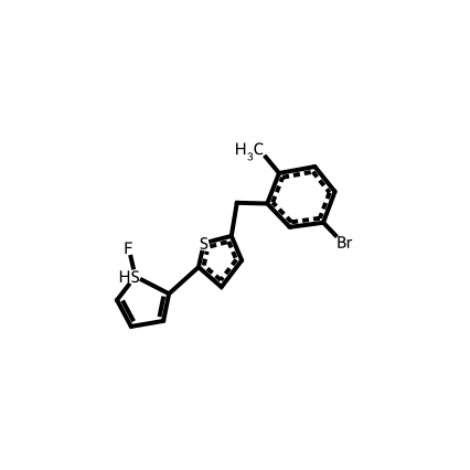 Cc1ccc(Br)cc1Cc1ccc(C2=CC=C[SH]2F)s1